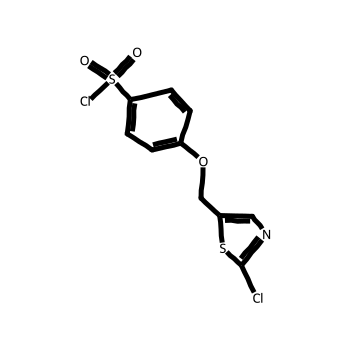 O=S(=O)(Cl)c1ccc(OCc2cnc(Cl)s2)cc1